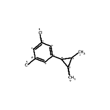 CC1C(C)C1c1cc(Cl)cc(Cl)c1